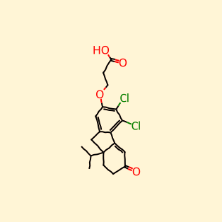 CC(C)C12CCC(=O)C=C1c1c(cc(OCCC(=O)O)c(Cl)c1Cl)C2